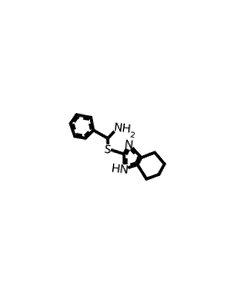 NC(Sc1nc2c([nH]1)CCCC2)c1ccccc1